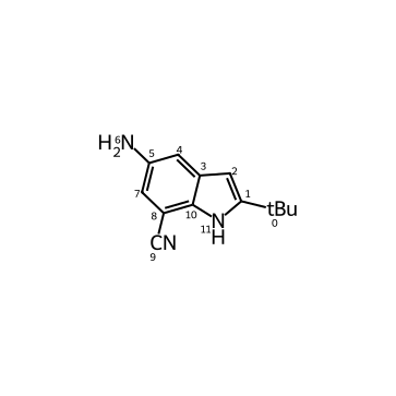 CC(C)(C)c1cc2cc(N)cc(C#N)c2[nH]1